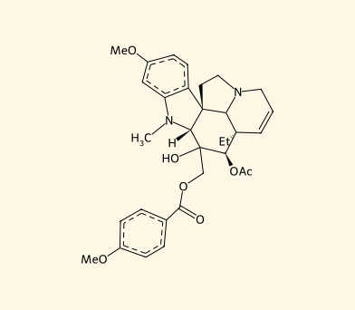 CC[C@]12C=CCN3CC[C@@]4(c5ccc(OC)cc5N(C)[C@H]4C(O)(COC(=O)c4ccc(OC)cc4)[C@@H]1OC(C)=O)C32